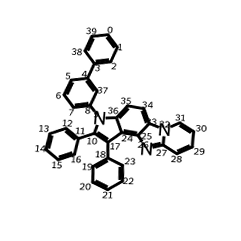 c1ccc(-c2cccc(-n3c(-c4ccccc4)c(-c4ccccc4)c4c5nc6ccccn6c5ccc43)c2)cc1